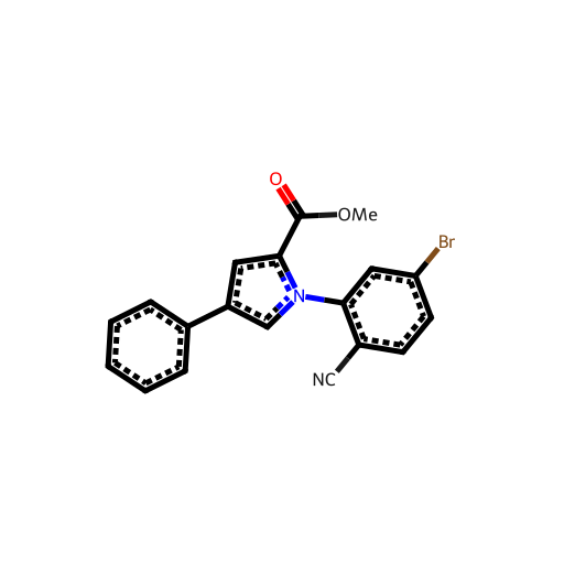 COC(=O)c1cc(-c2ccccc2)cn1-c1cc(Br)ccc1C#N